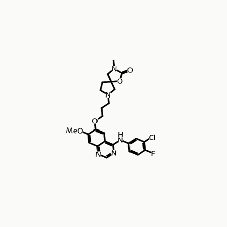 COc1cc2ncnc(Nc3ccc(F)c(Cl)c3)c2cc1OCCCN1CCC2(C1)CN(C)C(=O)O2